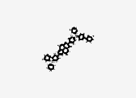 c1ccc(-c2ccc(N(c3ccccc3)c3ccc(-c4cc5ccc6cc(-c7ccc8c(c7)c7ccccc7n8-c7ccccc7)cc7ccc(c4)c5c67)cc3)cc2)cc1